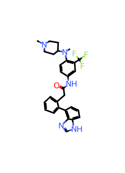 CN1CCC(N(C)c2ccc(NC(=O)Cc3ccccc3-c3cccc4[nH]cnc34)cc2C(F)(F)F)CC1